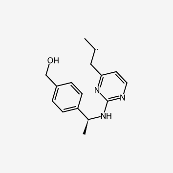 C[CH]Cc1ccnc(N[C@@H](C)c2ccc(CO)cc2)n1